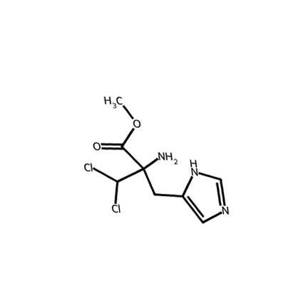 COC(=O)C(N)(Cc1cnc[nH]1)C(Cl)Cl